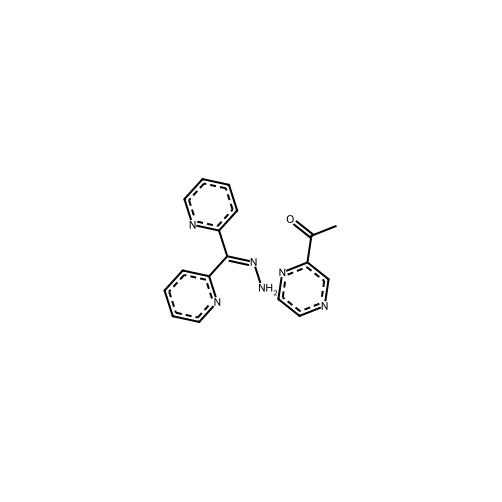 CC(=O)c1cnccn1.NN=C(c1ccccn1)c1ccccn1